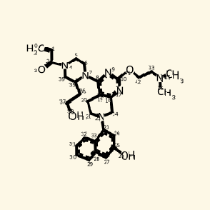 C=CC(=O)N1CCN(c2nc(OCCN(C)C)nc3c2CCN(c2cc(O)cc4ccccc24)C3)C(CCO)C1